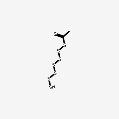 CC(=S)SSSSSSS